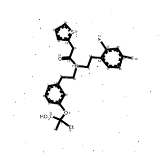 CCC(C)(Oc1cccc(CCN(CCc2ccc(F)cc2F)C(=O)Cc2cccs2)c1)C(=O)O